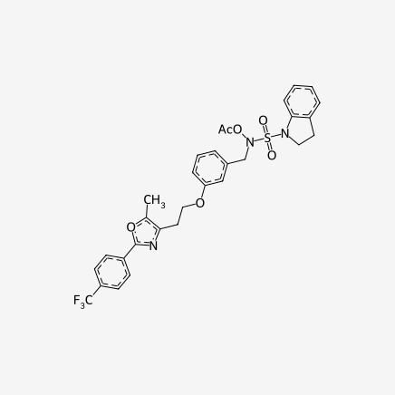 CC(=O)ON(Cc1cccc(OCCc2nc(-c3ccc(C(F)(F)F)cc3)oc2C)c1)S(=O)(=O)N1CCc2ccccc21